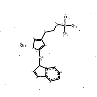 C[Si](C)(C)OCCC1=CC[C]([Zr+2][CH]2C=Cc3ccccc32)=C1.[Cl-].[Cl-]